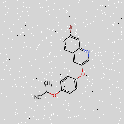 CC(C#N)Oc1ccc(Oc2cnc3cc(Br)ccc3c2)cc1